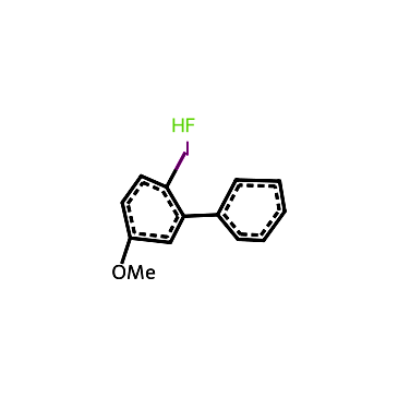 COc1ccc(I)c(-c2ccccc2)c1.F